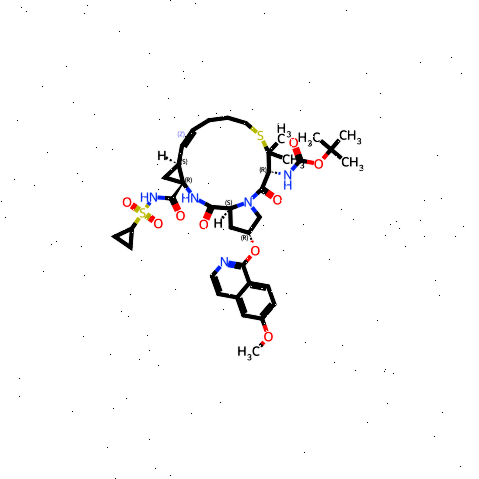 COc1ccc2c(O[C@@H]3C[C@H]4C(=O)N[C@]5(C(=O)NS(=O)(=O)C6CC6)C[C@H]5/C=C\CCCSC(C)(C)[C@H](NC(=O)OC(C)(C)C)C(=O)N4C3)nccc2c1